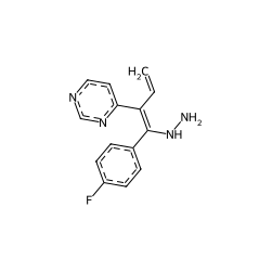 C=C/C(=C(\NN)c1ccc(F)cc1)c1ccncn1